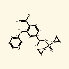 CC(OP(=O)(N1CC1)N1CC1)c1ccc([N+](=O)[O-])c(Oc2cccnc2)c1